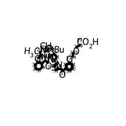 CC(C(=O)NC(C(=O)N1CCC[C@@H]1c1nc(C(=O)c2cccc(OCCOCCC(=O)O)c2)cs1)C1CCCCC1)N(C)C(=O)OC(C)(C)C